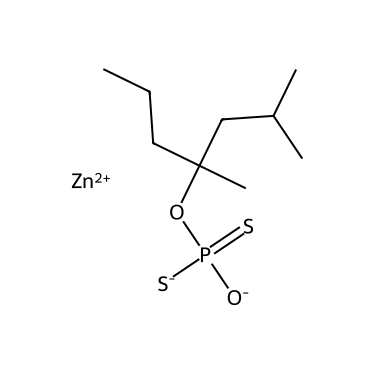 CCCC(C)(CC(C)C)OP([O-])(=S)[S-].[Zn+2]